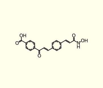 O=C(C=Cc1ccc(C=CC(=O)c2ccc(C(=O)O)cc2)cc1)NO